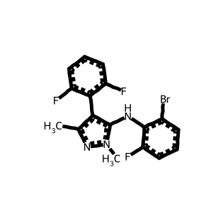 Cc1nn(C)c(Nc2c(F)cccc2Br)c1-c1c(F)cccc1F